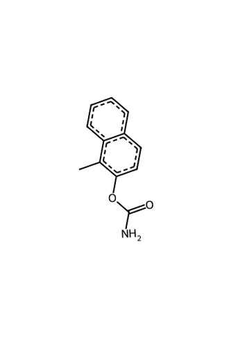 Cc1c(OC(N)=O)ccc2ccccc12